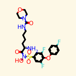 N[C@H](CCCCNC(=O)N1CCOCC1)C(=O)N(O)S(=O)(=O)c1cc(F)c(Oc2ccc(F)cc2)c(F)c1